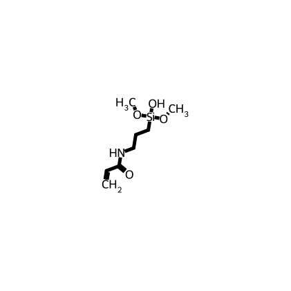 C=CC(=O)NCCC[Si](O)(OC)OC